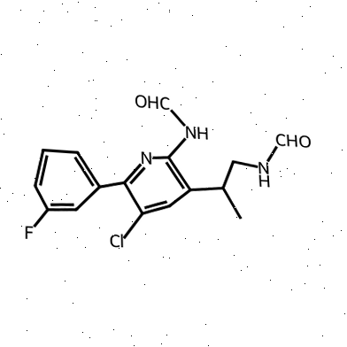 CC(CNC=O)c1cc(Cl)c(-c2cccc(F)c2)nc1NC=O